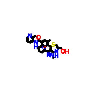 Cc1cc(C(=O)Nc2cccnc2C)ccc1C1SCC(CO)Nc2c1c(-c1ccccn1)nn2C